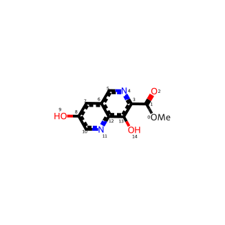 COC(=O)c1ncc2cc(O)cnc2c1O